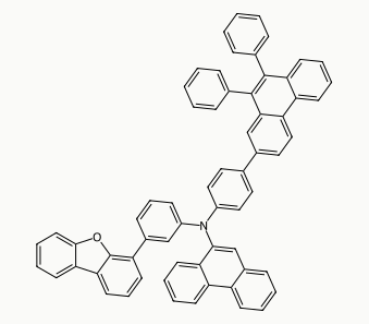 c1ccc(-c2c(-c3ccccc3)c3cc(-c4ccc(N(c5cccc(-c6cccc7c6oc6ccccc67)c5)c5cc6ccccc6c6ccccc56)cc4)ccc3c3ccccc23)cc1